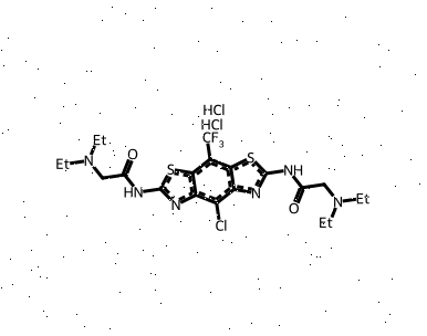 CCN(CC)CC(=O)Nc1nc2c(Cl)c3nc(NC(=O)CN(CC)CC)sc3c(C(F)(F)F)c2s1.Cl.Cl